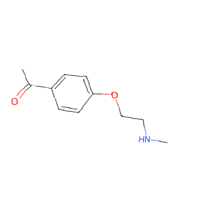 CNCCOc1ccc(C(C)=O)cc1